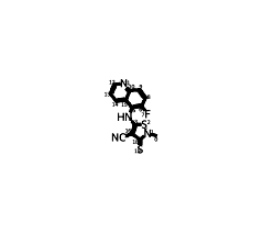 Cn1sc(Nc2c(F)ccc3ncccc23)c(C#N)c1=S